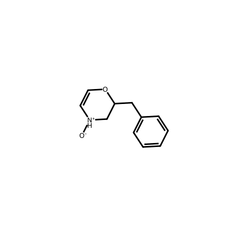 [O-][NH+]1C=COC(Cc2ccccc2)C1